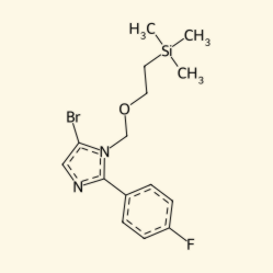 C[Si](C)(C)CCOCn1c(Br)cnc1-c1ccc(F)cc1